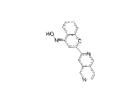 O/N=c1/cc(-c2cc3cnccc3cn2)oc2ccccc12